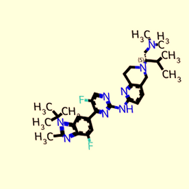 Cc1nc2c(F)cc(-c3nc(Nc4ccc5c(n4)CCN([C@H](CN(C)C)C(C)C)C5)ncc3F)cc2n1C(C)(C)C